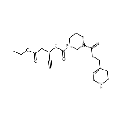 C#CC(CC(=O)OCC)NC(=O)[C@@H]1CCCN(C(=O)CCC2=CCNCC2)C1